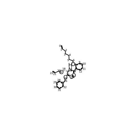 C=CCCCCCOc1ccccc1C(=O)N[C@@H](COCC=C)C(=O)OCc1ccccc1